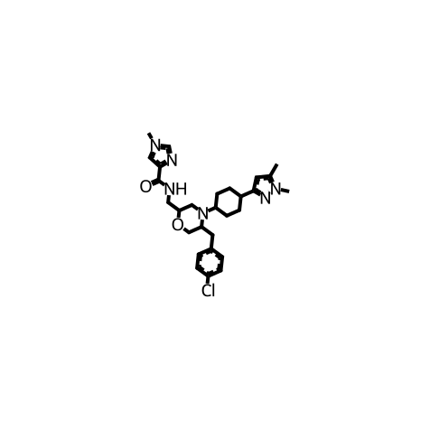 Cc1cc(C2CCC(N3CC(CNC(=O)c4cn(C)cn4)OCC3Cc3ccc(Cl)cc3)CC2)nn1C